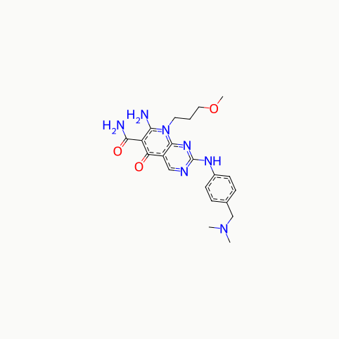 COCCCn1c(N)c(C(N)=O)c(=O)c2cnc(Nc3ccc(CN(C)C)cc3)nc21